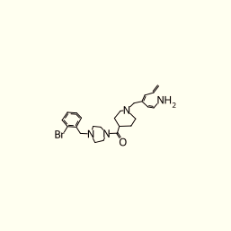 C=C/C=C(\C=C/N)CN1CCC(C(=O)N2CCN(Cc3ccccc3Br)CC2)CC1